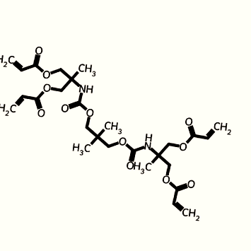 C=CC(=O)OCC(C)(COC(=O)C=C)NC(=O)OCC(C)(C)COC(=O)NC(C)(COC(=O)C=C)COC(=O)C=C